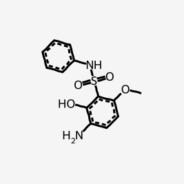 COc1ccc(N)c(O)c1S(=O)(=O)Nc1ccccc1